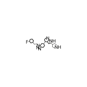 Fc1cccc(CCn2nnc3ccc(-c4ccnc5[nH]c(C6CCNCC6)cc45)cc32)c1